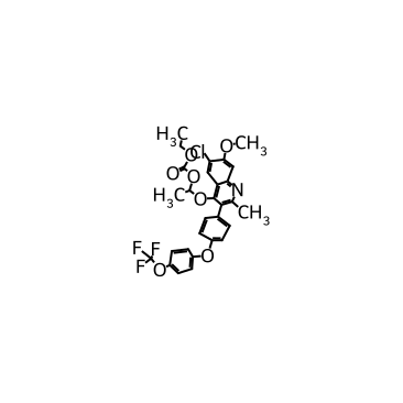 CCOC(=O)OC(C)Oc1c(-c2ccc(Oc3ccc(OC(F)(F)F)cc3)cc2)c(C)nc2cc(OC)c(Cl)cc12